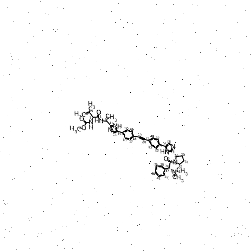 COC(=O)N[C@H](C(=O)N[C@@H](C)c1ncc(-c2ccc(C#Cc3ccc(-c4cnc([C@@H]5CCCN5C(=O)[C@@H](c5ccccc5)N(C)C)[nH]4)cc3)cc2)[nH]1)C(C)C